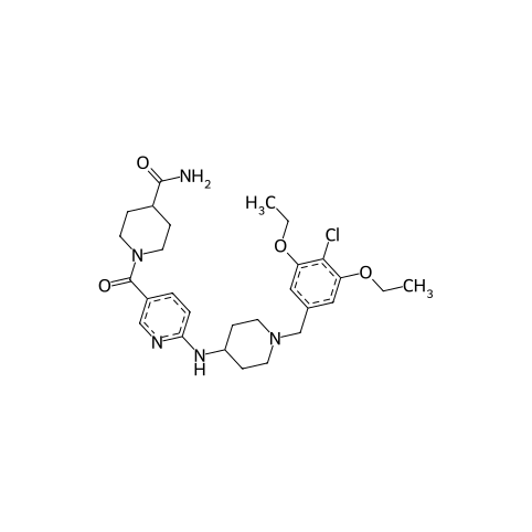 CCOc1cc(CN2CCC(Nc3ccc(C(=O)N4CCC(C(N)=O)CC4)cn3)CC2)cc(OCC)c1Cl